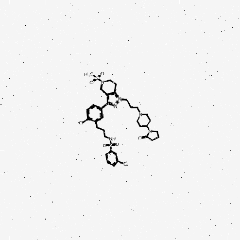 CS(=O)(=O)N1CCc2c(c(-c3ccc(Cl)c(CCCNS(=O)(=O)c4cccc(Cl)c4)c3)nn2CCCN2CCC(N3CCCC3=O)CC2)C1